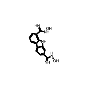 N=C(NO)c1ccc2c(c1)[nH]c1c(C(=N)NO)cccc12